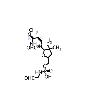 C/N=C(N)\C=C/N(C=O)C1OC(COP(=O)(O)NCC=O)CC1(C)C